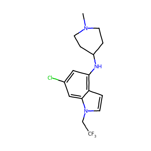 CN1CCC(Nc2cc(Cl)cc3c2ccn3CC(F)(F)F)CC1